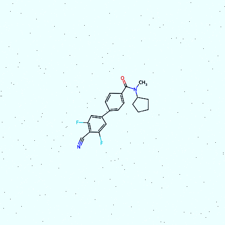 CN(C(=O)c1ccc(-c2cc(F)c(C#N)c(F)c2)cc1)C1CCCC1